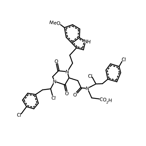 COc1ccc2[nH]cc(CCN3C(=O)CN(C(Cl)Cc4ccc(Cl)cc4)C(=O)C3CC(=O)N(CC(=O)O)C(Cl)Cc3ccc(Cl)cc3)c2c1